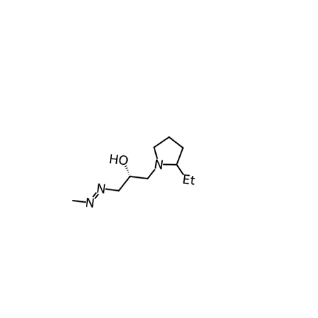 CCC1CCCN1C[C@@H](O)CN=NC